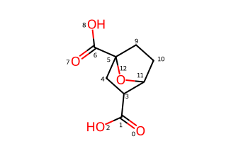 O=C(O)C1CC2(C(=O)O)CCC1O2